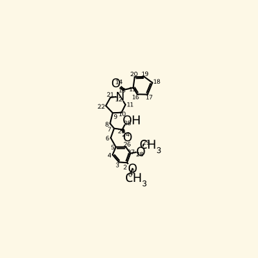 COc1ccc(CC(CC2CCN(C(=O)c3ccccc3)CC2)C(=O)O)cc1OC